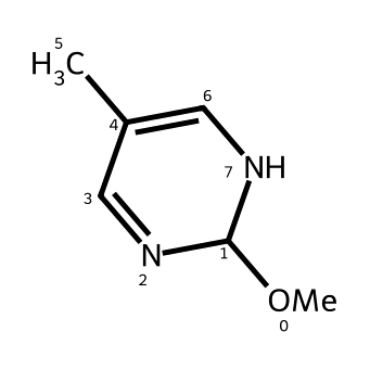 COC1N=CC(C)=CN1